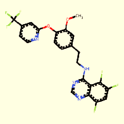 COc1cc(CCNc2ncnc3c(F)cc(F)c(F)c23)ccc1Oc1cc(C(F)(F)F)ccn1